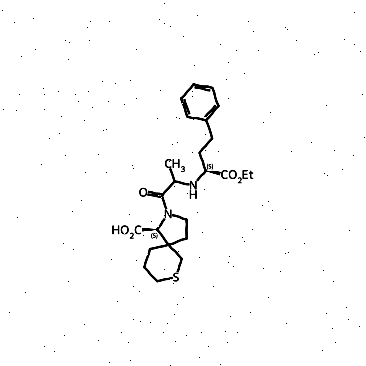 CCOC(=O)[C@H](CCc1ccccc1)NC(C)C(=O)N1CCC2(CCCSC2)[C@H]1C(=O)O